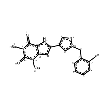 CCCCn1c(=O)c2[nH]c(-c3cnn(Cc4ccccc4F)c3)cc2n(CCCC)c1=O